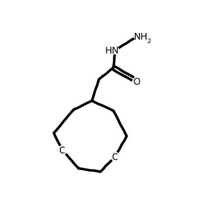 NNC(=O)CC1CCCCCCCC1